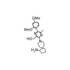 COc1ccc(-c2nc(CO)c(N3CCC4(CCC[C@H]4N)CC3)nc2C)c(OC)c1